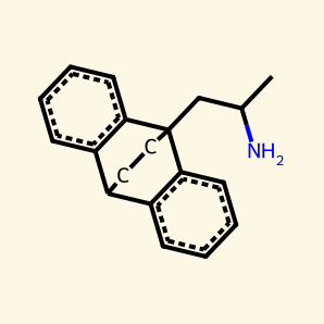 CC(N)CC12CCC(c3ccccc31)c1ccccc12